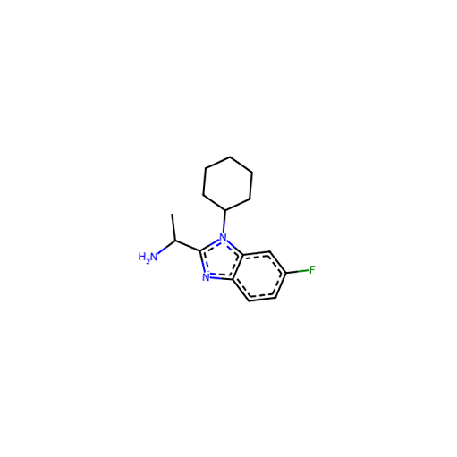 CC(N)c1nc2ccc(F)cc2n1C1CCCCC1